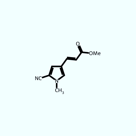 COC(=O)/C=C/c1cc(C#N)n(C)c1